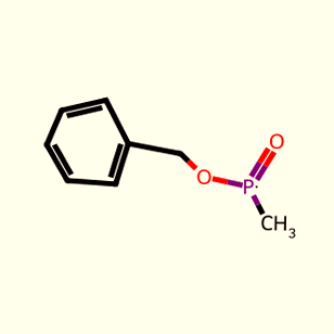 C[P](=O)OCc1ccccc1